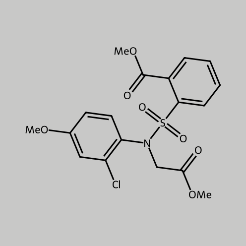 COC(=O)CN(c1ccc(OC)cc1Cl)S(=O)(=O)c1ccccc1C(=O)OC